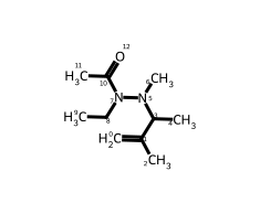 C=C(C)C(C)N(C)N(CC)C(C)=O